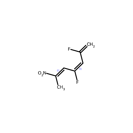 C=C(F)/C=C(F)\C=C(/C)[N+](=O)[O-]